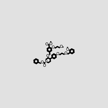 COCCCOc1cc(COC2CN(C(=O)OCc3ccccc3)CCC2c2ccc(OCCCOCc3ccccc3OC)cc2)ccc1C(=O)OC